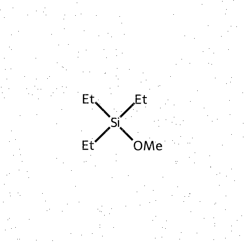 [CH2]O[Si](CC)(CC)CC